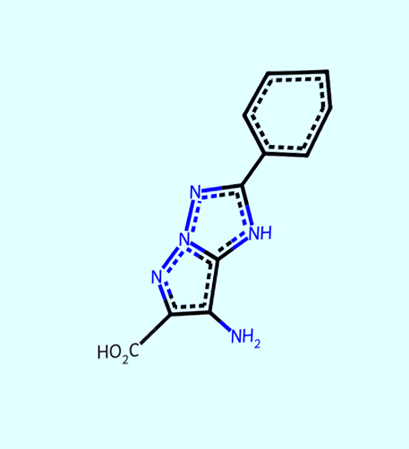 Nc1c(C(=O)O)nn2nc(-c3ccccc3)[nH]c12